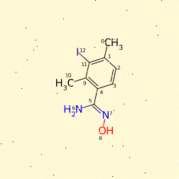 Cc1ccc(C(N)=NO)c(C)c1I